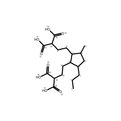 CCCC1CC(C)C(CCC(C(=O)O)C(=O)O)C1CCC(C(=O)O)C(=O)O